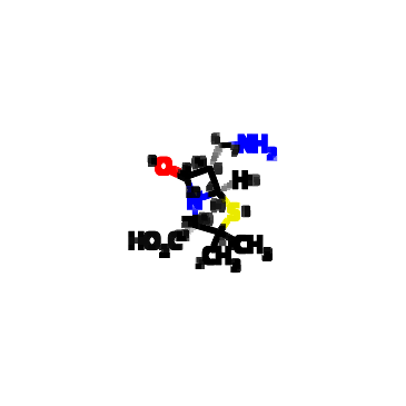 CC1(C)S[C@@H]2[C@@H](CN)C(=O)N2[C@H]1C(=O)O